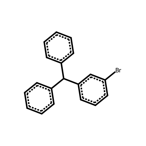 Brc1cccc(C(c2ccccc2)c2ccccc2)c1